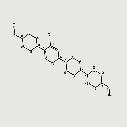 C=CC1COC(C2CCC(C3C=C(F)C(C4CCC(CF)CC4)=CC3)CC2)OC1